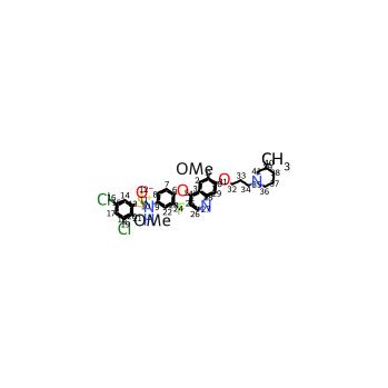 COc1cc2c(Oc3ccc(N[S+]([O-])c4cc(Cl)cc(Cl)c4OC)cc3F)ccnc2cc1OCCCN1CCCC(C)C1